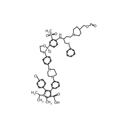 Cc1c(C(=O)O)c(-c2cccc(N3CCN(c4ccc(N5CCOP5(=O)c5ccc(NC(CCN6CCC(COP=O)CC6)CSc6ccccc6)c(S(C)(=O)=O)c5)cc4)CC3)c2)c(-c2ccc(Cl)cc2)n1C(C)C